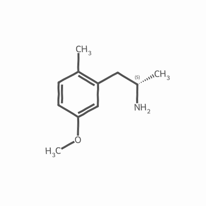 COc1ccc(C)c(C[C@H](C)N)c1